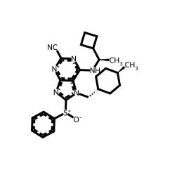 C[C@@H](Nc1nc(C#N)nc2nc([S+]([O-])c3ccccc3)n(C[C@H]3CC[C@H](C)CC3)c12)C1CCC1